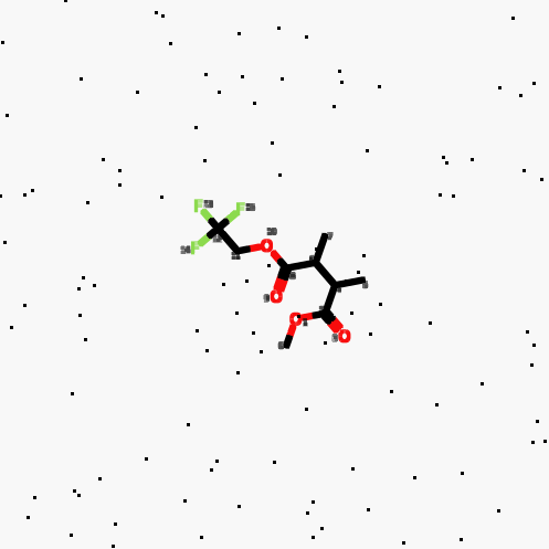 COC(=O)C(C)C(C)C(=O)OCC(F)(F)F